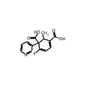 CC1C(C(=O)O)=CC=C(F)C1(C(=O)O)c1cccnc1